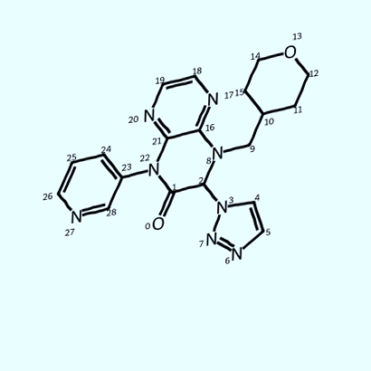 O=C1C(n2ccnn2)N(CC2CCOCC2)c2nccnc2N1c1cccnc1